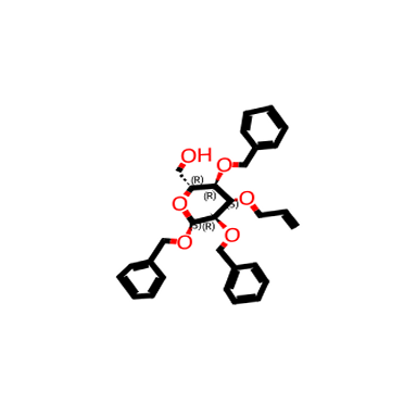 C=CCO[C@@H]1[C@@H](OCc2ccccc2)[C@@H](OCc2ccccc2)O[C@H](CO)[C@H]1OCc1ccccc1